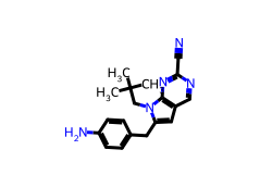 CC(C)(C)Cn1c(Cc2ccc(N)cc2)cc2cnc(C#N)nc21